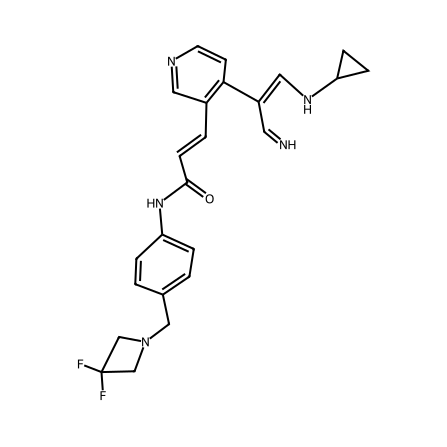 N=C/C(=C\NC1CC1)c1ccncc1/C=C/C(=O)Nc1ccc(CN2CC(F)(F)C2)cc1